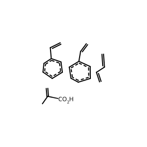 C=C(C)C(=O)O.C=CC=C.C=Cc1ccccc1.C=Cc1ccccc1